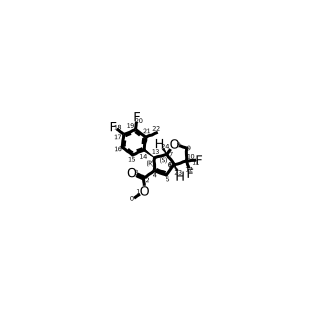 COC(=O)C1=C[C@@H]2[C@@H](OCC2(F)F)[C@@H]1c1ccc(F)c(F)c1C